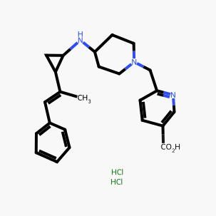 C/C(=C\c1ccccc1)C1CC1NC1CCN(Cc2ccc(C(=O)O)cn2)CC1.Cl.Cl